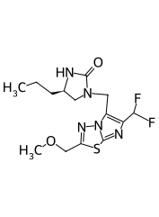 CCC[C@@H]1CN(Cc2c(C(F)F)nc3sc(COC)nn23)C(=O)N1